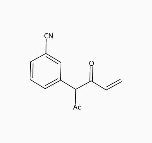 C=CC(=O)C(C(C)=O)c1cccc(C#N)c1